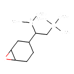 CO[SiH](OC)C(C[Si](OC)(OC)OC)C1CCC2OC2C1